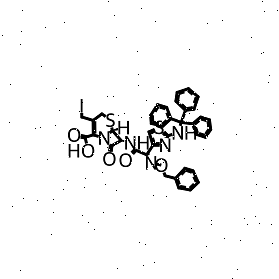 O=C(O)C1=C(CI)CS[C@@H]2[C@H](NC(=O)/C(=N/OCc3ccccc3)c3csc(NC(c4ccccc4)(c4ccccc4)c4ccccc4)n3)C(=O)N12